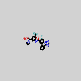 Cn1cnnc1-c1ccccc1-c1ccc(F)c(-c2nc3cc([C@H](CO)N4CCC4)cc(C(F)(F)F)c3o2)c1